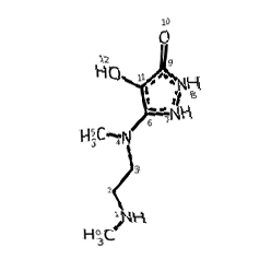 CNCCN(C)c1[nH][nH]c(=O)c1O